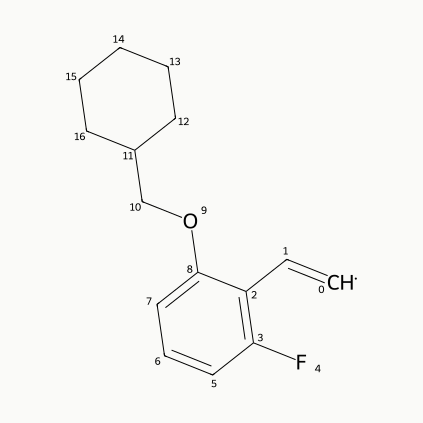 [CH]=Cc1c(F)cccc1OCC1CCCCC1